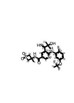 CC1(NC(=O)c2cnc(Nc3cc(OC(C)(F)F)ccc3F)c(C(=N)C(C)(C)O)c2)CS(=O)(=O)C1